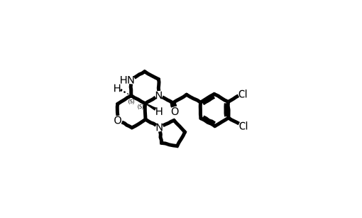 O=C(Cc1ccc(Cl)c(Cl)c1)N1CCN[C@@H]2COCC(N3CCCC3)[C@H]21